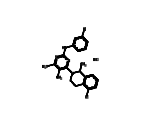 Cc1nc(Nc2cccc(Cl)c2)nc(N2CCc3c(Cl)cccc3C2C)c1C.Cl